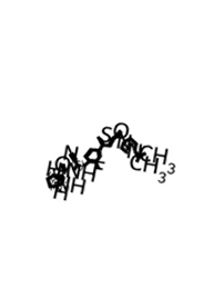 CC(C)N1CCN(C(=O)c2cc(-c3ccc(C[C@@H](C#N)NC(=O)[C@H]4N[C@@H]5CC[C@H]4C5)c(F)c3)cs2)CC1